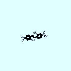 O=[N+]([O-])c1ccc(C=Cc2ccc([N+](=O)[O-])cc2S)c(S)c1